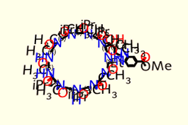 CC[C@@H]1NC(=O)[C@H]([C@H](O)[C@H](C)Cc2nc3ccc(C(=O)OC)cc3n2C)N(C)C(=O)[C@H](C(C)C)N(C)C(=O)[C@H](CC(C)C)N(C)C(=O)[C@H](CC(C)C)N(C)C(=O)[C@@H](C)NC(=O)[C@H](C)NC(=O)[C@H](CC(C)C)N(C)C(=O)[C@H](C(C)C)NC(=O)[C@H](CC(C)C)N(C)C(=O)CN(C)C1=O